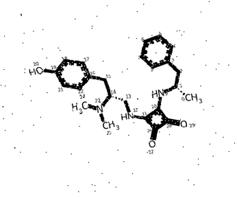 C[C@@H](Cc1ccccc1)Nc1c(NC[C@@H](Cc2ccc(O)cc2)N(C)C)c(=O)c1=O